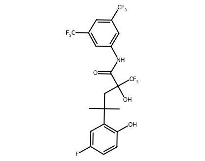 CC(C)(CC(O)(C(=O)Nc1cc(C(F)(F)F)cc(C(F)(F)F)c1)C(F)(F)F)c1cc(F)ccc1O